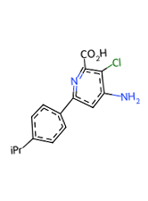 CC(C)c1ccc(-c2cc(N)c(Cl)c(C(=O)O)n2)cc1